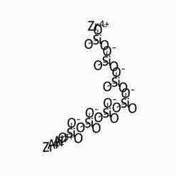 O=[Si]([O-])[O-].O=[Si]([O-])[O-].O=[Si]([O-])[O-].O=[Si]([O-])[O-].O=[Si]([O-])[O-].O=[Si]([O-])[O-].O=[Si]([O-])[O-].[Al+3].[Al+3].[Zr+4].[Zr+4]